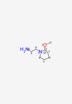 CO[C@H]1CCCCN1CCN